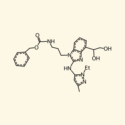 CCn1nc(C)cc1Nc1nc2c(C(O)CO)cccc2n1CCCNC(=O)OCc1ccccc1